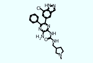 CN1CCC(CNC(=O)Nc2nc(-c3cc(Cl)c4[nH]ncc4c3)c(-c3ccccc3)nc2N)C1